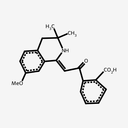 COc1ccc2c(c1)/C(=C/C(=O)c1ccccc1C(=O)O)NC(C)(C)C2